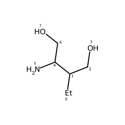 CCC(CO)C(N)CO